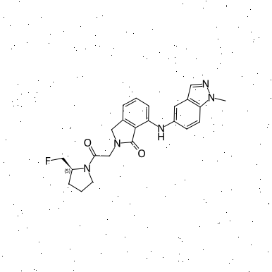 Cn1ncc2cc(Nc3cccc4c3C(=O)N(CC(=O)N3CCC[C@H]3CF)C4)ccc21